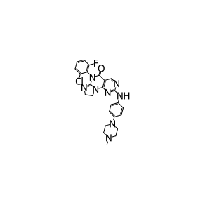 CN1CCN(c2ccc(Nc3ncc4c(n3)N3CCN=C3N(c3c(F)cccc3Cl)C4=O)cc2)CC1